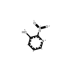 O=[SH](=O)c1ncccc1O